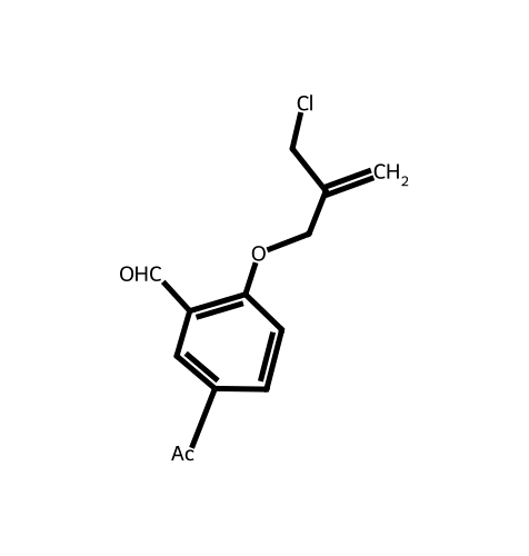 C=C(CCl)COc1ccc(C(C)=O)cc1C=O